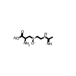 CC(=N)NCC[S+]([O-])CC(N)C(=O)O